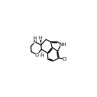 Clc1ccc2c3c(c[nH]c13)C[C@H]1NCCO[C@H]21